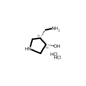 Cl.Cl.NC[C@H]1CNC[C@H]1O